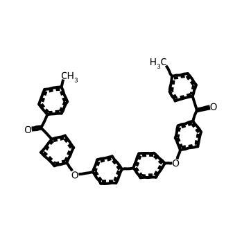 Cc1ccc(C(=O)c2ccc(Oc3ccc(-c4ccc(Oc5ccc(C(=O)c6ccc(C)cc6)cc5)cc4)cc3)cc2)cc1